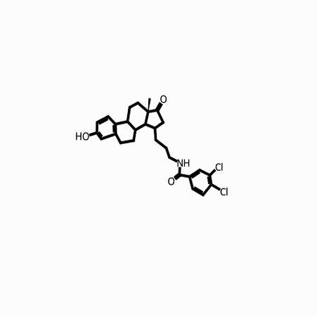 C[C@]12CCC3c4ccc(O)cc4CCC3C1C(CCCNC(=O)c1ccc(Cl)c(Cl)c1)CC2=O